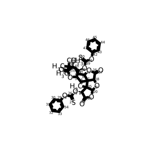 C[C@@H]1C(=O)OC(CC23C(CCC(C)(C)C)OC(=O)C2OC2OC(=O)[C@H](OC(=S)Oc4ccccc4)C23C)[C@@H]1OC(=S)Oc1ccccc1